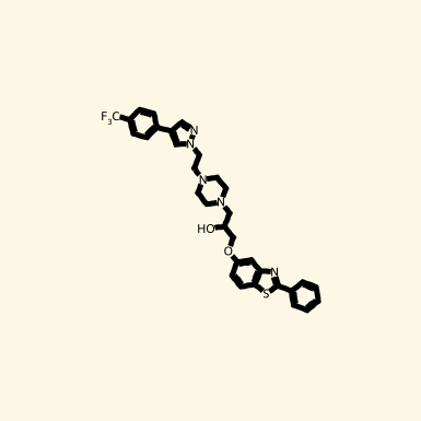 OC(COc1ccc2sc(-c3ccccc3)nc2c1)CN1CCN(CCn2cc(-c3ccc(C(F)(F)F)cc3)cn2)CC1